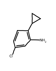 Nc1cc(Cl)ccc1C1CC1